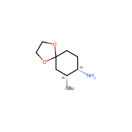 CCCC[C@@H]1CC2(CC[C@@H]1N)OCCO2